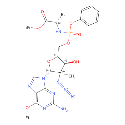 CCOc1nc(N)nc2c1ncn2[C@@H]1O[C@H](COP(=O)(N[C@@H](CC)C(=O)OC(C)C)Oc2ccccc2)[C@@H](O)[C@@]1(C)N=[N+]=[N-]